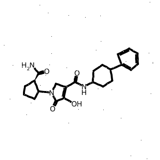 NC(=O)[C@@H]1CCCC1N1CC(C(=O)NC2CCC(c3ccccc3)CC2)=C(O)C1=O